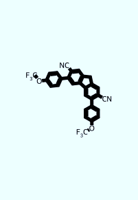 N#Cc1cc2c(cc1-c1ccc(OC(F)(F)F)cc1)-c1cc(-c3ccc(OC(F)(F)F)cc3)c(C#N)cc1C2